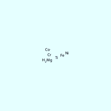 [Co].[Cr].[Fe].[MgH2].[Ni].[Ti]